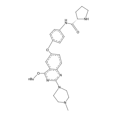 CCCCOc1nc(N2CCN(C)CC2)nc2ccc(Oc3ccc(NC(=O)[C@@H]4CCCN4)cc3)cc12